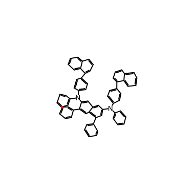 c1ccc(-c2cc3c(-c4ccccc4)cc(N(c4ccccc4)c4ccc(-c5cccc6ccccc56)cc4)cc3cc2N(c2ccccc2)c2ccc(-c3cccc4ccccc34)cc2)cc1